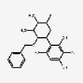 CCC1CC(c2c(O)cc(O)c(C(C)=O)c2O)C(OCc2ccccc2)C(C)C1C